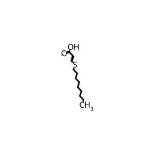 CCCCCCCCCS/C=C/C(=O)O